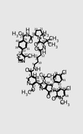 COc1ncc(C(=O)NCCCCC(=O)N[C@H](C(=O)N2CCC[C@H]2C(=O)N[C@@H](C)c2ccc(-c3scnc3C)cc2)C(C)(C)C)cc1-c1nc2c(n1C(C)C)[C@H](c1ccc(Cl)cc1)N(c1cc(Cl)cn(C)c1=O)C2=O